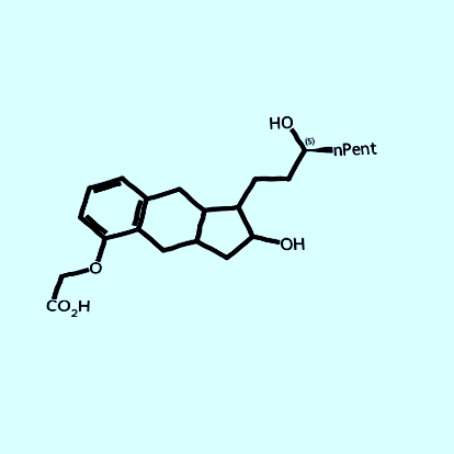 CCCCC[C@H](O)CCC1C(O)CC2Cc3c(cccc3OCC(=O)O)CC21